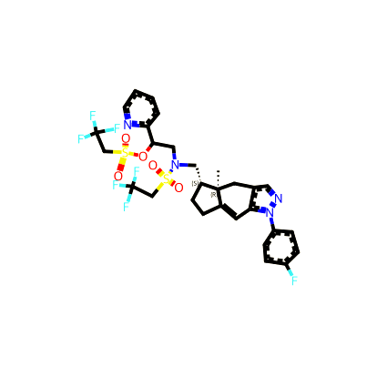 C[C@]12Cc3cnn(-c4ccc(F)cc4)c3C=C1CC[C@@H]2CN(CC(OS(=O)(=O)CC(F)(F)F)c1ccccn1)S(=O)(=O)CC(F)(F)F